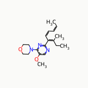 C\C=C/C=C\C(=C(/C)CC)c1ncc(OC)c(N2CCOCC2)n1